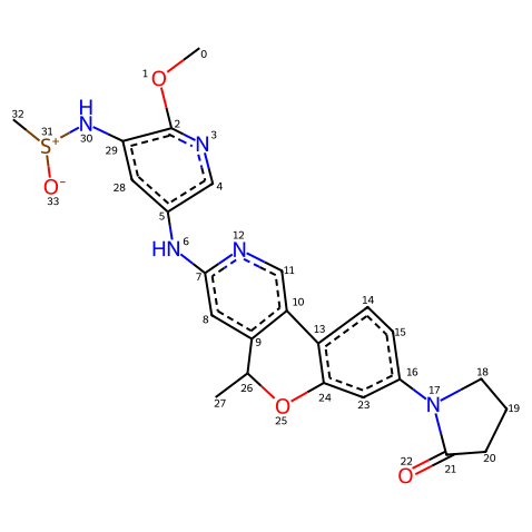 COc1ncc(Nc2cc3c(cn2)-c2ccc(N4CCCC4=O)cc2OC3C)cc1N[S+](C)[O-]